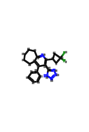 FC1(F)CC(c2nc3c(c(-c4ccccc4)c2-c2nnn[nH]2)CCCCC3)C1